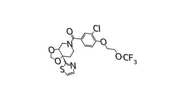 O=C(c1ccc(OCCOC(F)(F)F)c(Cl)c1)N1CC[C@]2(c3nccs3)OCOC2C1